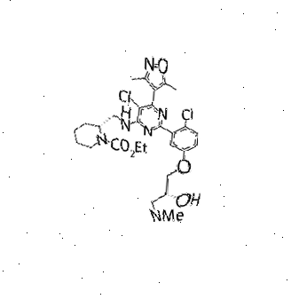 CCOC(=O)N1CCCC[C@@H]1CNc1nc(-c2cc(OC[C@H](O)CNC)ccc2Cl)nc(-c2c(C)noc2C)c1Cl